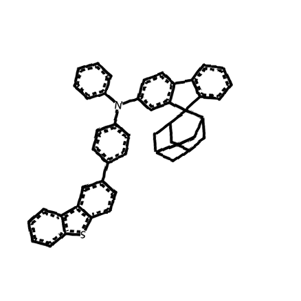 c1ccc(N(c2ccc(-c3ccc4sc5ccccc5c4c3)cc2)c2ccc3c(c2)C2(c4ccccc4-3)C3CC4CC(C3)CC2C4)cc1